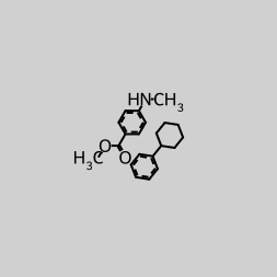 CNc1ccc(C(=O)OC)cc1.c1ccc(C2CCCCC2)cc1